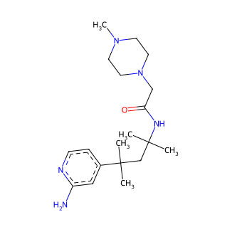 CN1CCN(CC(=O)NC(C)(C)CC(C)(C)c2ccnc(N)c2)CC1